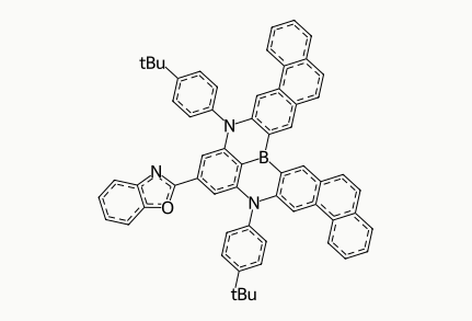 CC(C)(C)c1ccc(N2c3cc4c(ccc5ccccc54)cc3B3c4cc5ccc6ccccc6c5cc4N(c4ccc(C(C)(C)C)cc4)c4cc(-c5nc6ccccc6o5)cc2c43)cc1